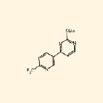 CSc1nccc(-c2ccc(C(F)(F)F)nc2)n1